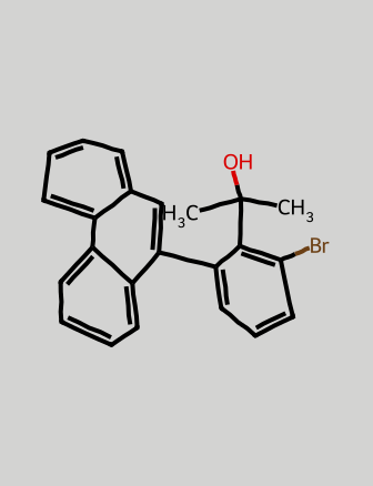 CC(C)(O)c1c(Br)cccc1-c1cc2ccccc2c2ccccc12